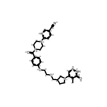 Cc1c(N2CCC(COCCOc3ccc(C(=O)N4CCN(c5ccc(C#N)cn5)CC4)cc3)C2)cn[nH]c1=O